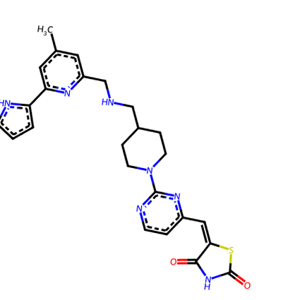 Cc1cc(CNCC2CCN(c3nccc(C=C4SC(=O)NC4=O)n3)CC2)nc(-c2ccc[nH]2)c1